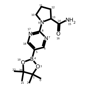 CC1(C)OB(c2cnc(N3CCCC3C(N)=O)nc2)OC1(C)C